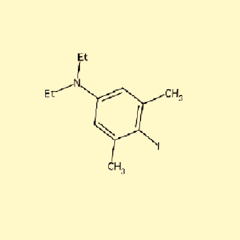 CCN(CC)c1cc(C)c(I)c(C)c1